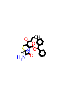 CCCC(=O)C1=C(C(=O)OC(c2ccccc2)c2ccccc2)N2C(=O)C(N)[C@H]2SC1